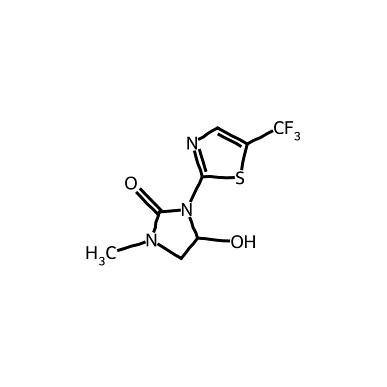 CN1CC(O)N(c2ncc(C(F)(F)F)s2)C1=O